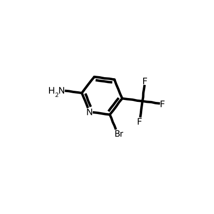 Nc1ccc(C(F)(F)F)c(Br)n1